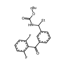 CCCCOC(=O)NC(CC)c1cccc(C(=O)c2c(F)cccc2F)c1